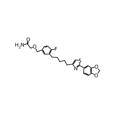 NC(=O)COCc1ccc(F)c(CCCCCc2csc(-c3ccc4c(c3)OCO4)n2)c1